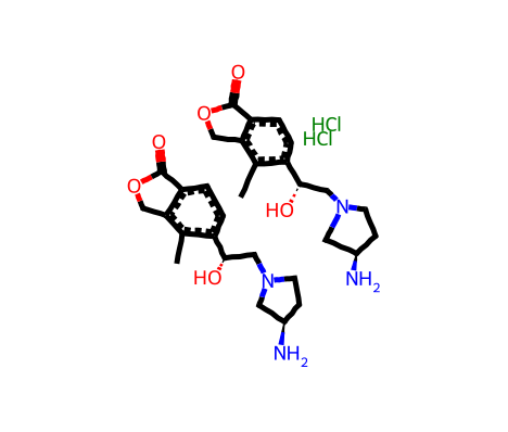 Cc1c([C@@H](O)CN2CC[C@@H](N)C2)ccc2c1COC2=O.Cc1c([C@@H](O)CN2CC[C@@H](N)C2)ccc2c1COC2=O.Cl.Cl